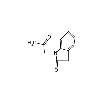 CC(=O)CN1C(=O)Cc2ccccc21